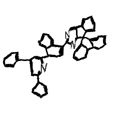 c1ccc(-c2cc(-c3ccccc3)nc(-c3ccc(-c4ncc5c(n4)C4(c6ccccc6-c6ccccc64)c4ccccc4-5)c4ccccc34)c2)cc1